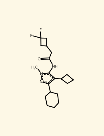 Cn1nc(C2CCCCC2)c(C2CCC2)c1NC(=O)CC1CC(F)(F)C1